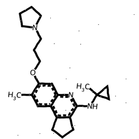 Cc1cc2c3c(c(NC4(C)CC4)nc2cc1OCCCN1CCCC1)CCC3